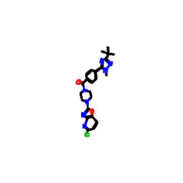 Cn1nc(C(C)(C)C)nc1-c1ccc(C(=O)N2CCN(c3nc4nc(Cl)ccc4o3)CC2)cc1